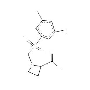 O=C(O)C1CCN1CS(=O)(=O)c1cc(Cl)cc(Cl)c1